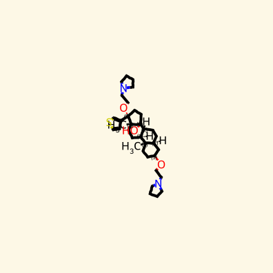 C[C@]12CC[C@H](OCCN3CCCC3)C[C@@H]1CC[C@@H]1[C@@H]2CC[C@]2(C)[C@@](OCCN3CCCC3)(c3ccsc3)CC[C@]12O